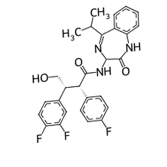 CC(C)C1=NC(NC(=O)[C@H](c2ccc(F)cc2)[C@@H](CO)c2ccc(F)c(F)c2)C(=O)Nc2ccccc21